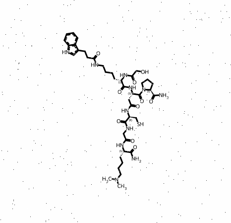 CN(C)CCCC[C@H](NC(=O)CNC(=O)[C@H](CS)NC(=O)C[C@H](NC(=O)[C@H](CCCCNC(=O)CCc1c[nH]c2ccccc12)NC(=O)CO)C(=O)N1CCC[C@H]1C(N)=O)C(N)=O